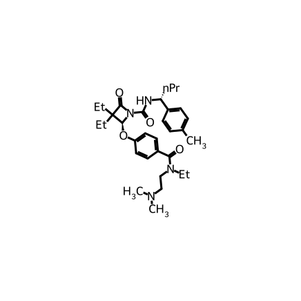 CCC[C@@H](NC(=O)N1C(=O)C(CC)(CC)[C@@H]1Oc1ccc(C(=O)N(CC)CCN(C)C)cc1)c1ccc(C)cc1